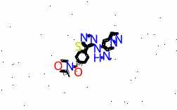 C[C@H]1COCCN1C(=O)[C@H]1CCc2c(sc3ncnc(Nc4cc5ccnn5cc4N(C)C)c23)C1